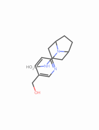 O=C(O)NC1CC2CCC(C1)N2c1ccc(CO)cn1